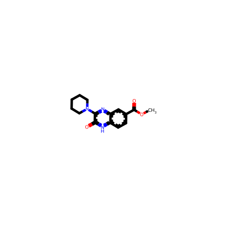 COC(=O)c1ccc2[nH]c(=O)c(N3CCCCC3)nc2c1